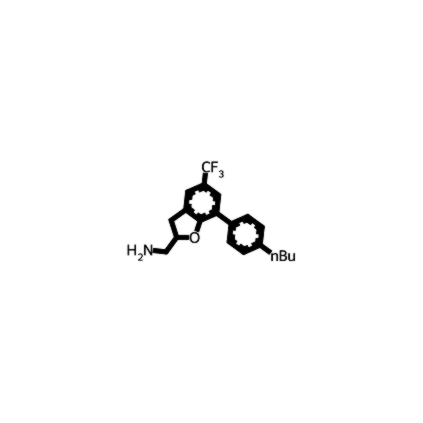 CCCCc1ccc(-c2cc(C(F)(F)F)cc3c2OC(CN)C3)cc1